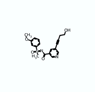 COc1cccc(S(C)(=O)=NC(=O)c2cncc(C#CCCO)c2)c1